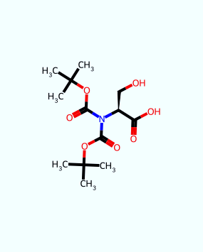 CC(C)(C)OC(=O)N(C(=O)OC(C)(C)C)[C@@H](CO)C(=O)O